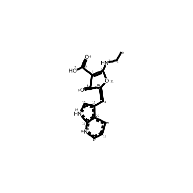 CCNC1=C(C(=O)O)C(=O)C(=Cc2c[nH]c3ncccc23)O1